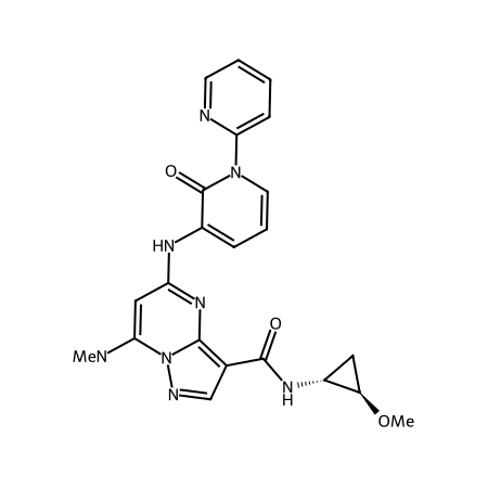 CNc1cc(Nc2cccn(-c3ccccn3)c2=O)nc2c(C(=O)N[C@@H]3C[C@H]3OC)cnn12